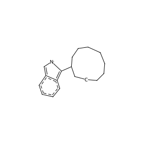 C1=c2ccccc2=C(C2CCCCCCCCC2)[N]1